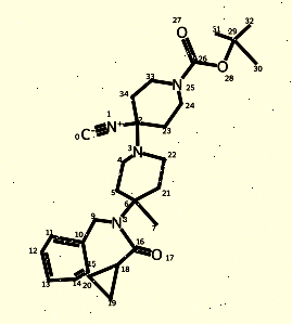 [C-]#[N+]C1(N2CCC(C)(N(Cc3ccccc3)C(=O)C3CC3)CC2)CCN(C(=O)OC(C)(C)C)CC1